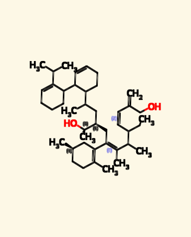 C=C(/C=C\C(CC)C(C)/C(C)=C(\C[C@H](CC(C)C1CCC=CC1C1CCCC=C1C(C)C)[C@@H](C)O)C1=C(C)CC[C@@H](C)C1)CO